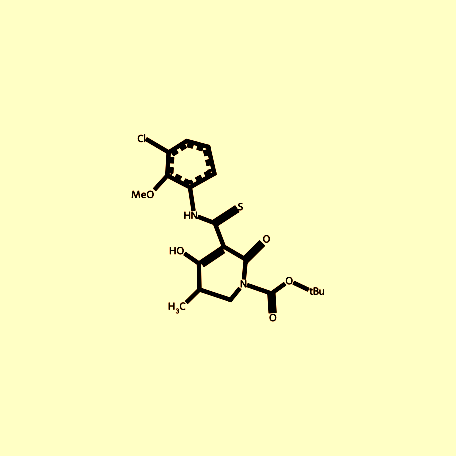 COc1c(Cl)cccc1NC(=S)C1=C(O)C(C)CN(C(=O)OC(C)(C)C)C1=O